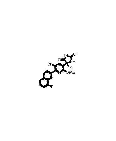 COc1nc(-c2ccc3cccc(F)c3c2)c(Br)cc1C1(C(C)C)NC(=O)NC1=O